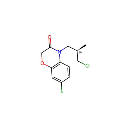 C[C@@H](CCl)CN1C(=O)COc2cc(F)ccc21